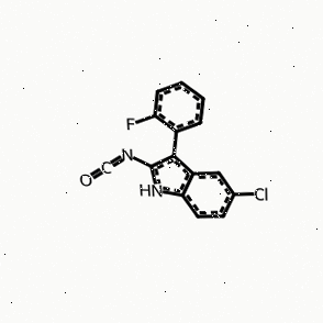 O=C=Nc1[nH]c2ccc(Cl)cc2c1-c1ccccc1F